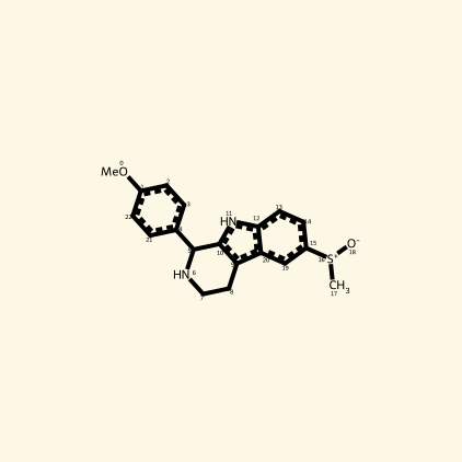 COc1ccc(C2NCCc3c2[nH]c2ccc([S+](C)[O-])cc32)cc1